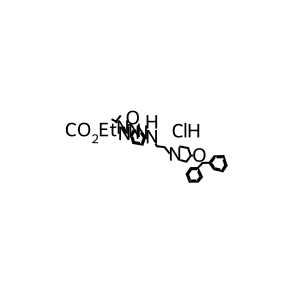 CCOC(=O)C(C)(C)n1nc2ccc(NCCCN3CCC(OC(c4ccccc4)c4ccccc4)CC3)nn2c1=O.Cl